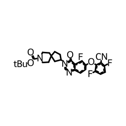 CC(C)(C)OC(=O)N1CCC2(CCC(n3cnc4ccc(Oc5c(F)ccc(F)c5C#N)c(F)c4c3=O)C2)CC1